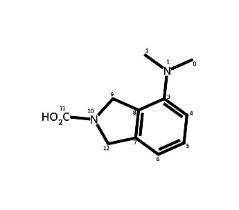 CN(C)c1cccc2c1CN(C(=O)O)C2